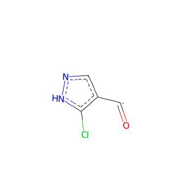 O=[C]c1cn[nH]c1Cl